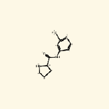 O=C(Nc1ccnc(C(F)(F)F)c1)C1CCCN1